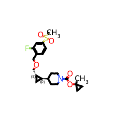 CC1(OC(=O)N2CCC([C@H]3C[C@@H]3COCc3ccc(S(C)(=O)=O)cc3F)CC2)CC1